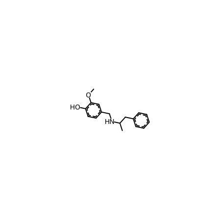 COc1cc(CNC(C)Cc2ccccc2)ccc1O